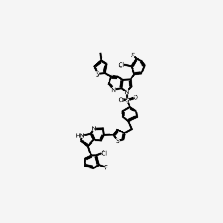 Cc1csc(-c2cnc3c(c2)c(-c2cccc(F)c2Cl)cn3S(=O)(=O)c2ccc(Cc3csc(-c4cnc5[nH]cc(-c6cccc(F)c6Cl)c5c4)c3)cc2)c1